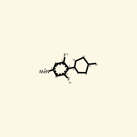 CNc1cc(F)c(C2CCC(C)CC2)c(F)c1